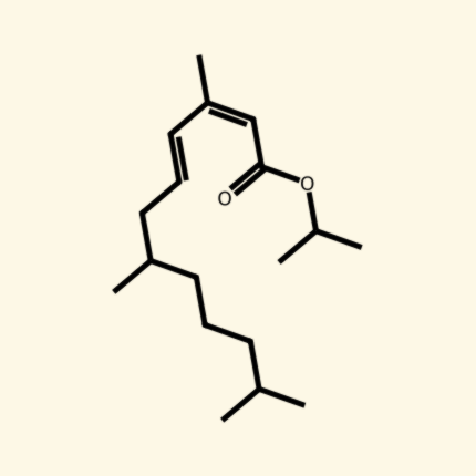 CC(C=CCC(C)CCCC(C)C)=CC(=O)OC(C)C